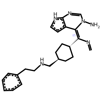 C=N/C(=C1/c2cc[nH]c2N=CN1N)[C@H]1CC[C@H](CNCCc2ccccc2)CC1